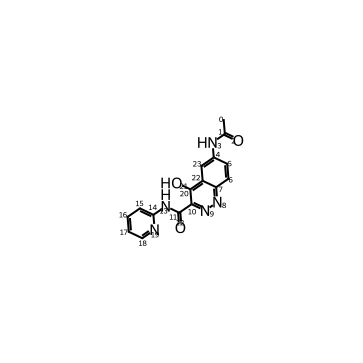 CC(=O)Nc1ccc2nnc(C(=O)Nc3ccccn3)c(O)c2c1